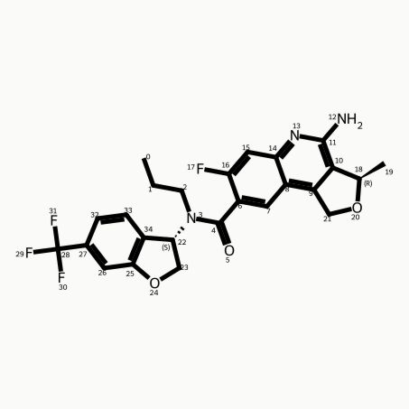 CCCN(C(=O)c1cc2c3c(c(N)nc2cc1F)[C@@H](C)OC3)[C@@H]1COc2cc(C(F)(F)F)ccc21